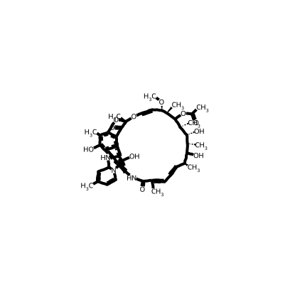 CO[C@H]1/C=C/O[C@@]2(C)Oc3c(C)c(O)c4c(O)c(c5c(c4c3C2=O)NC2C=C(C)C=CN52)NC(=O)/C(C)=C\C=C\[C@H](C)C(O)[C@@H](C)[C@@H](O)[C@@H](C)C(OC(C)=O)[C@@H]1C